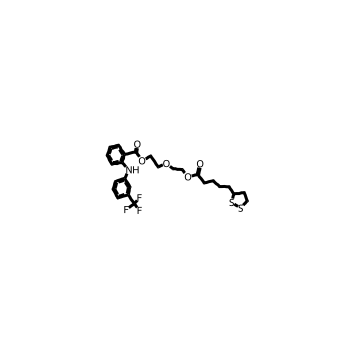 O=C(CCCCC1CCSS1)OCCOCCOC(=O)c1ccccc1Nc1cccc(C(F)(F)F)c1